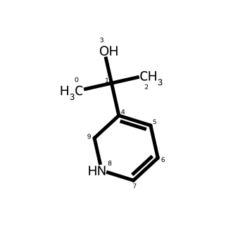 CC(C)(O)C1=CC=CNC1